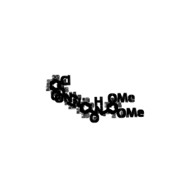 COc1cc(CNC(=O)c2ccc(N3CCN(C(=O)Cc4c(Cl)cccc4Cl)CC3)cc2)cc(OC)c1